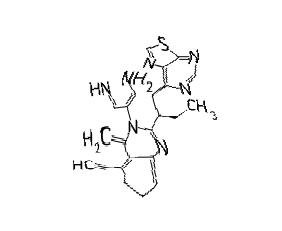 C#CC1=C2C(=C)N(/C(C=N)=C/N)C([C@H](CC)Cc3ncnc4scnc34)=NC2=CCC1